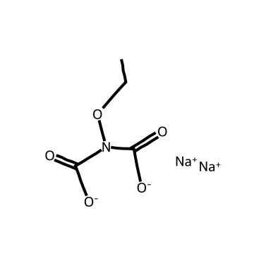 CCON(C(=O)[O-])C(=O)[O-].[Na+].[Na+]